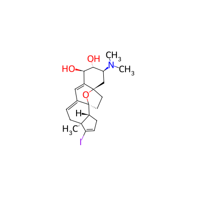 CN(C)[C@H]1C[C@@]23CC[C@@]4(O2)C(=CC[C@]2(C)C(I)=CC[C@H]24)C=C3[C@@H](O)[C@@H]1O